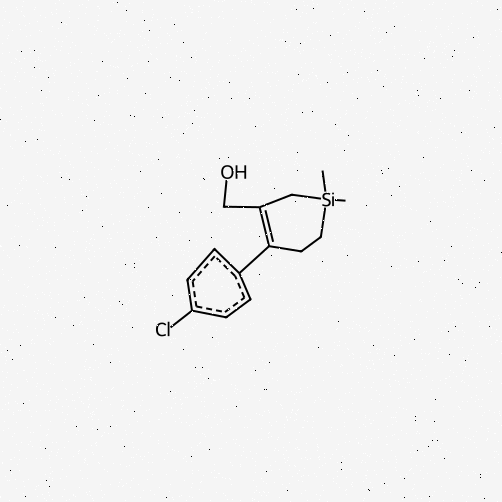 C[Si]1(C)CCC(c2ccc(Cl)cc2)=C(CO)C1